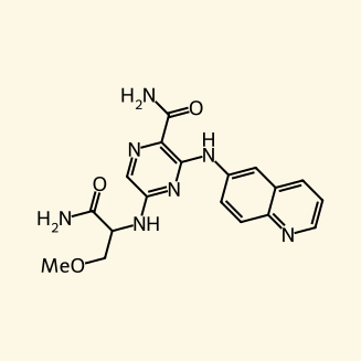 COCC(Nc1cnc(C(N)=O)c(Nc2ccc3ncccc3c2)n1)C(N)=O